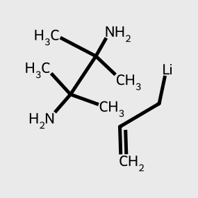 CC(C)(N)C(C)(C)N.[Li][CH2]C=C